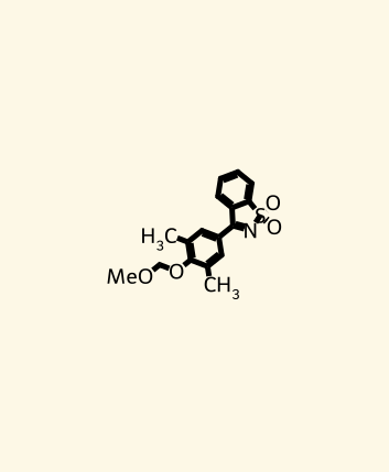 COCOc1c(C)cc(C2=NS(=O)(=O)c3ccccc32)cc1C